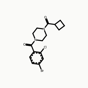 O=C(c1ccc(Br)cc1Cl)N1CCN(C(=O)C2CCC2)CC1